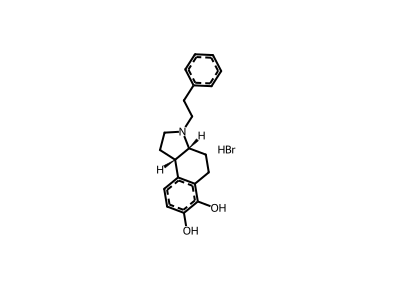 Br.Oc1ccc2c(c1O)CC[C@@H]1[C@H]2CCN1CCc1ccccc1